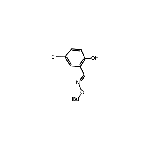 CCC(C)ON=Cc1cc(Cl)ccc1O